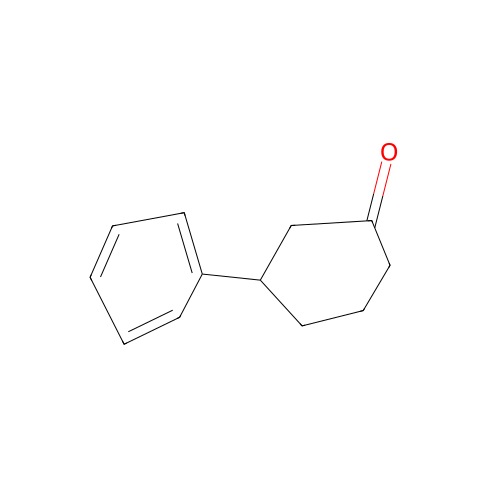 O=C1CCCC(c2ccccc2)C1